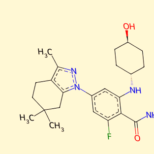 Cc1nn(-c2cc(F)c(C(N)=O)c(N[C@H]3CC[C@H](O)CC3)c2)c2c1CCC(C)(C)C2